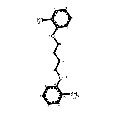 Bc1ccccc1OCCCCOc1ccccc1B